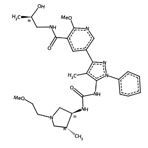 COCCN1C[C@@H](C)[C@H](NC(=O)Nc2c(C)c(-c3cnc(OC)c(C(=O)NC[C@@H](C)O)c3)nn2-c2ccccc2)C1